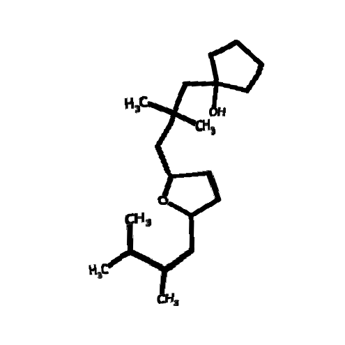 CC(C)C(C)CC1CCC(CC(C)(C)CC2(O)CCCC2)O1